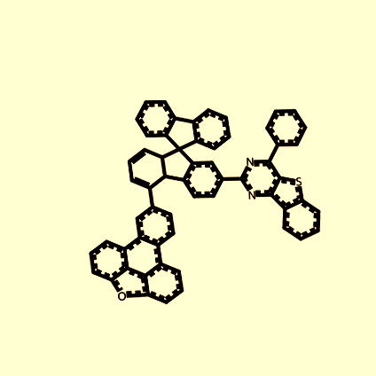 C1=CC2C(C(c3ccc4c(c3)c3cccc5oc6cccc4c6c53)=C1)c1ccc(-c3nc(-c4ccccc4)c4sc5ccccc5c4n3)cc1C21c2ccccc2-c2ccccc21